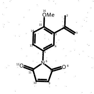 C=C(C)c1cc(N2C(=O)C=CC2=O)ccc1OC